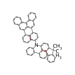 CC1(C)c2ccccc2-c2cc(N(c3ccc(-c4cc5ccccc5c5c4c(-c4ccccc4)cc4ccccc45)cc3)c3ccccc3-c3ccccc3)ccc21